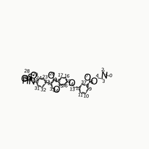 CN(C)CCOC(=O)c1cccc(COc2ccc3c(=O)c(-c4ccc(NS(C)(=O)=O)cc4)coc3c2)c1